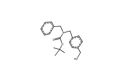 CC(C)(C)OC(=O)N(Cc1ccccc1)Cc1ccc(CO)cc1